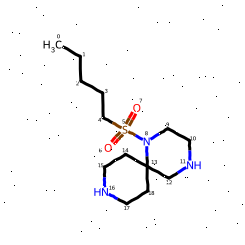 CCCCCS(=O)(=O)N1CCNCC12CCNCC2